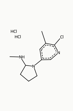 CNC1CCCN1c1cnc(Cl)c(C)c1.Cl.Cl